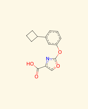 O=C(O)c1coc(Oc2cccc(C3CCC3)c2)n1